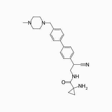 CN1CCN(Cc2ccc(-c3ccc(C(C#N)CNC(=O)C4(N)CC4)cc3)cc2)CC1